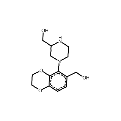 OCc1ccc2c(c1N1CCNC(CO)C1)OCCO2